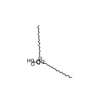 CCCCCCCCCCCCCCCCCCOc1ccc(C(=O)O)cc1OCCCCCCCCCCCCCCCCCC